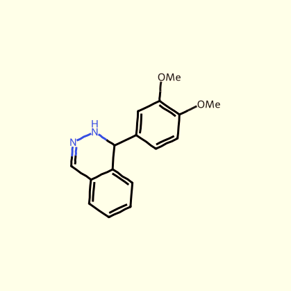 COc1ccc(C2NN=Cc3ccccc32)cc1OC